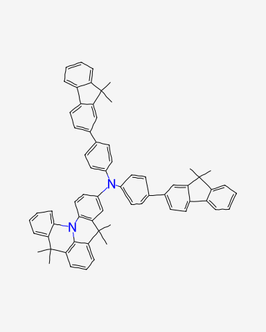 CC1(C)c2ccccc2-c2ccc(-c3ccc(N(c4ccc(-c5ccc6c(c5)C(C)(C)c5ccccc5-6)cc4)c4ccc5c(c4)C(C)(C)c4cccc6c4N5c4ccccc4C6(C)C)cc3)cc21